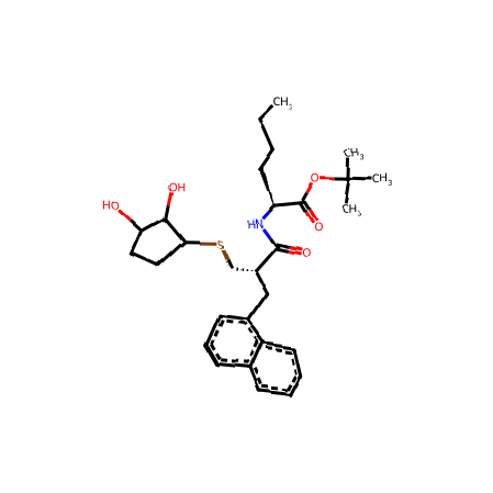 CCCC[C@H](NC(=O)[C@@H](CSC1CCC(O)C1O)Cc1cccc2ccccc12)C(=O)OC(C)(C)C